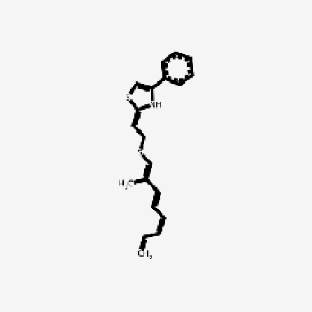 C=C\C=C/C=C/C(C)=C/SC/C=C1\NC(c2ccccc2)=CS1